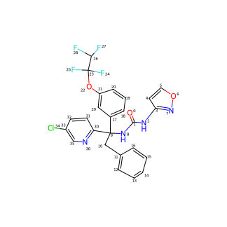 O=C(Nc1ccon1)NC(Cc1ccccc1)(c1cccc(OC(F)(F)C(F)F)c1)c1ccc(Cl)cn1